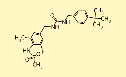 Cc1cc(CNC(=O)NCc2ccc(C(C)(C)C)cc2)cc(F)c1NS(C)(=O)=O